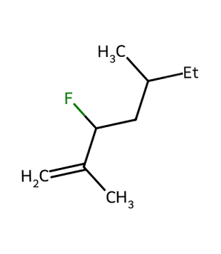 C=C(C)C(F)CC(C)CC